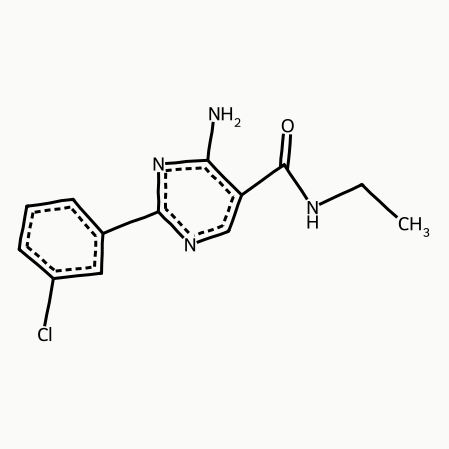 CCNC(=O)c1cnc(-c2cccc(Cl)c2)nc1N